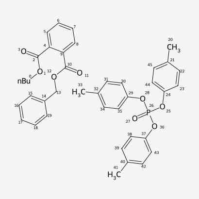 CCCCOC(=O)c1ccccc1C(=O)OCc1ccccc1.Cc1ccc(OP(=O)(Oc2ccc(C)cc2)Oc2ccc(C)cc2)cc1